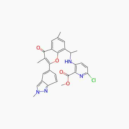 COC(=O)c1nc(Cl)ccc1NC(C)c1cc(C)cc2c(=O)c(C)c(-c3ccc4nn(C)cc4c3)oc12